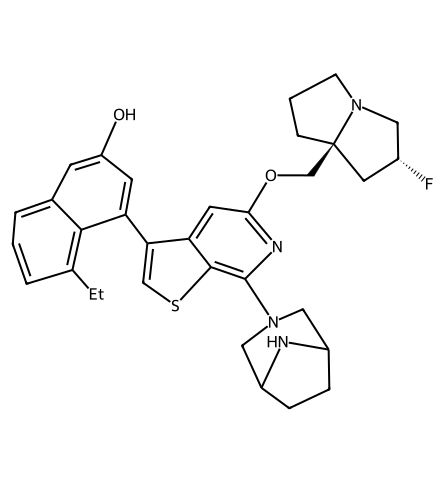 CCc1cccc2cc(O)cc(-c3csc4c(N5CC6CCC(C5)N6)nc(OC[C@@]56CCCN5C[C@H](F)C6)cc34)c12